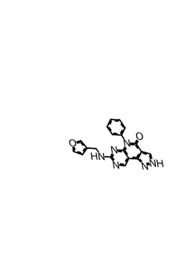 O=c1c2c[nH]nc2c2cnc(NCc3ccoc3)nc2n1-c1ccccc1